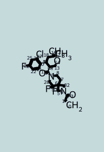 C=CC(=O)N1CC2(CCN(C(=O)[C@@H]3COC(C)(C)C[C@H]3c3ccc(F)cc3Cl)CC2(F)F)C1